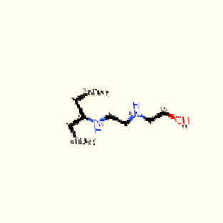 CCCCCCCCCCCC(CCCCCCCCCCC)NCCNCCO